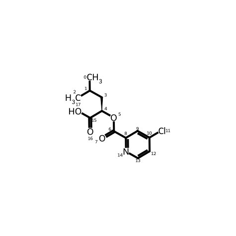 CC(C)C[C@@H](OC(=O)c1cc(Cl)ccn1)C(=O)O